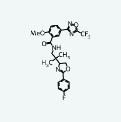 COc1ccc(-c2noc(C(F)(F)F)n2)cc1C(=O)NCC(C)(C)C1COC(c2ccc(F)cc2)=N1